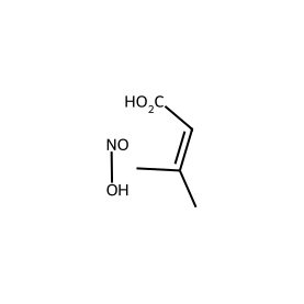 CC(C)=CC(=O)O.O=NO